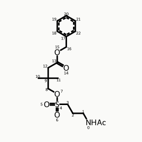 CC(=O)NCCCS(=O)(=O)OCC(C)(C)CC(=O)OCc1ccccc1